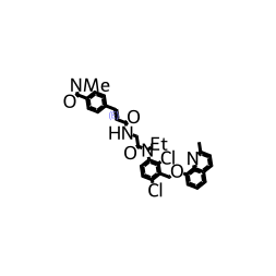 CCN(C(=O)CNC(=O)/C=C/c1ccc(C(=O)NC)cc1)c1ccc(Cl)c(COc2cccc3ccc(C)nc23)c1Cl